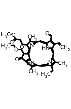 C=Cc1c(C=O)c2cc3nc(c4c5[nH]c(cc6nc(cc1[nH]2)C(C)=C6CC)c(C)c5C(=O)C4C(=O)OCC)C(CCC(=O)OC)C3C